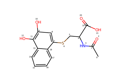 CC(=O)NC(CSc1cc(O)c(O)c2ccccc12)C(=O)O